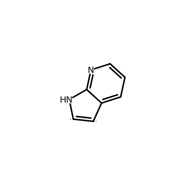 [c]1[c]c2cccnc2[nH]1